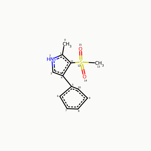 Cc1[nH]cc(-c2ccccc2)c1S(C)(=O)=O